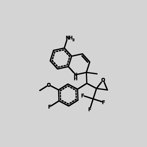 COc1cc(C(C2(C)C=Cc3c(N)cccc3N2)C2(C(F)(F)F)CO2)ccc1F